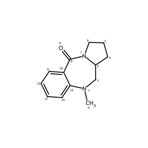 CN1CC2CCCN2C(=O)c2ccccc21